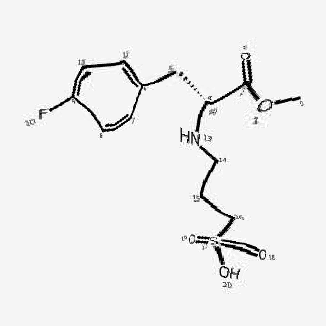 COC(=O)[C@@H](Cc1ccc(F)cc1)NCCCS(=O)(=O)O